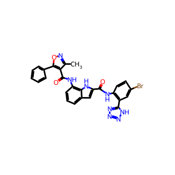 Cc1noc(-c2ccccc2)c1C(=O)Nc1cccc2cc(C(=O)Nc3ccc(Br)cc3-c3nnn[nH]3)[nH]c12